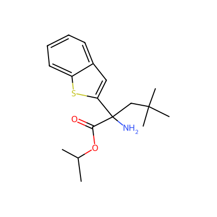 CC(C)OC(=O)C(N)(CC(C)(C)C)c1cc2ccccc2s1